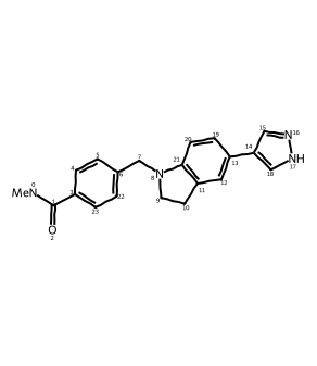 CNC(=O)c1ccc(CN2CCc3cc(-c4cn[nH]c4)ccc32)cc1